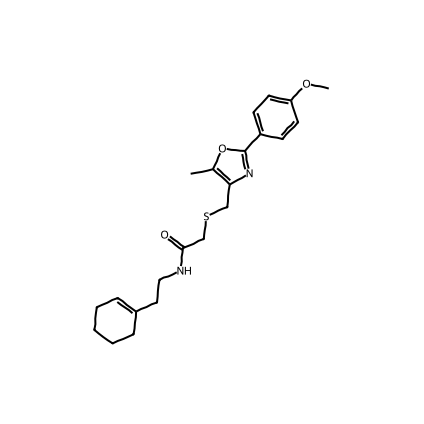 COc1ccc(-c2nc(CSCC(=O)NCCC3=CCCCC3)c(C)o2)cc1